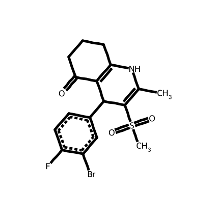 CC1=C(S(C)(=O)=O)C(c2ccc(F)c(Br)c2)C2=C(CCCC2=O)N1